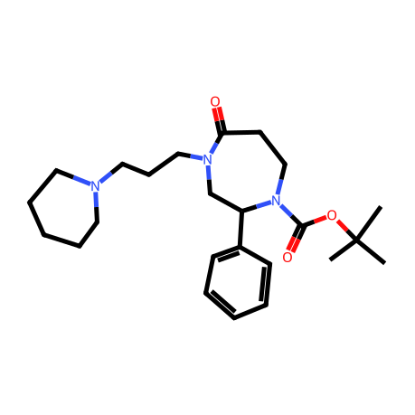 CC(C)(C)OC(=O)N1CCC(=O)N(CCCN2CCCCC2)CC1c1ccccc1